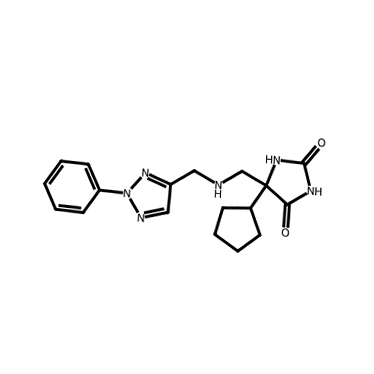 O=C1NC(=O)C(CNCc2cnn(-c3ccccc3)n2)(C2CCCC2)N1